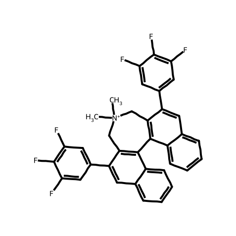 C[N+]1(C)Cc2c(-c3cc(F)c(F)c(F)c3)cc3ccccc3c2-c2c(c(-c3cc(F)c(F)c(F)c3)cc3ccccc23)C1